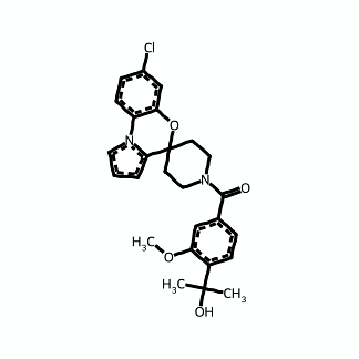 COc1cc(C(=O)N2CCC3(CC2)Oc2cc(Cl)ccc2-n2cccc23)ccc1C(C)(C)O